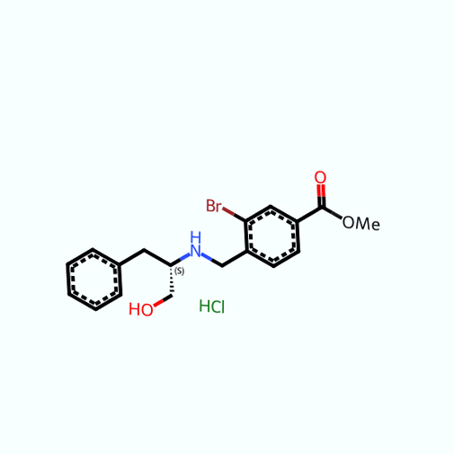 COC(=O)c1ccc(CN[C@H](CO)Cc2ccccc2)c(Br)c1.Cl